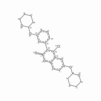 O=c1oc2ccc(OC3CCCCO3)cc2c(Cl)c1-c1cccc(OC2CCCCO2)c1